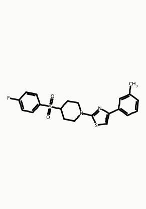 Cc1cccc(-c2csc(N3CCC(S(=O)(=O)c4ccc(F)cc4)CC3)n2)c1